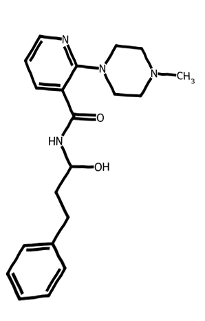 CN1CCN(c2ncccc2C(=O)NC(O)CCc2ccccc2)CC1